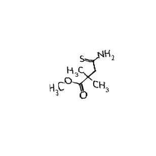 COC(=O)C(C)(C)CC(N)=S